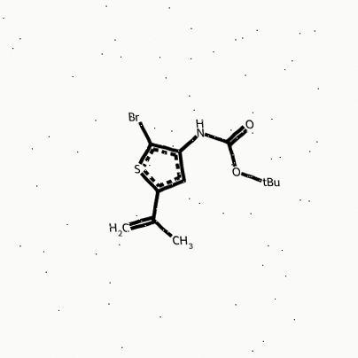 C=C(C)c1cc(NC(=O)OC(C)(C)C)c(Br)s1